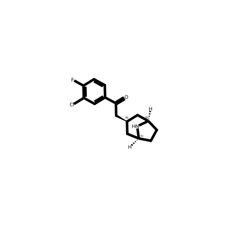 O=C(C[C@H]1C[C@H]2CC[C@@H](C1)N2)c1ccc(F)c(Cl)c1